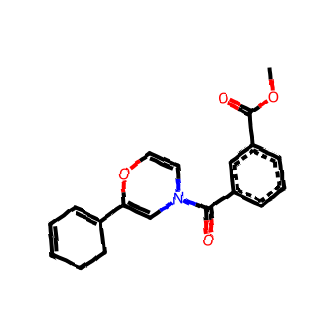 COC(=O)c1cccc(C(=O)N2C=COC(C3=CC=CCC3)=C2)c1